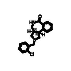 O=C1NC[C@@H]2CN(Cc3ccccc3Cl)C[C@H]2c2ccccc21